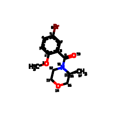 COc1ccc(Br)cc1C(=O)N1CCOC[C@@H]1C